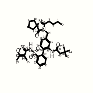 CCCCC1=NC2(CCCC2)C(=O)N1Cc1ccc(-c2ccccc2S(=O)(=O)Nc2noc(C)c2C)c(NC(=O)CC(C)(C)C)c1